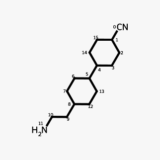 N#CC1CCC(C2CCC(CCN)CC2)CC1